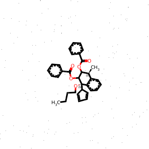 CCCCO[C@@]1(C2C=CC=C2)c2ccccc2[C@H](C)C(OC(=O)c2ccccc2)C1OC(=O)c1ccccc1